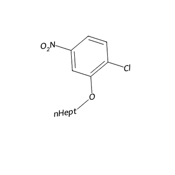 CCCCCCCOc1cc([N+](=O)[O-])ccc1Cl